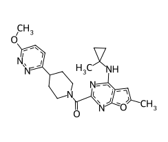 COc1ccc(C2CCN(C(=O)c3nc(NC4(C)CC4)c4cc(C)oc4n3)CC2)nn1